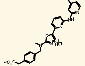 Cc1ccnc(Nc2cccc(-c3cnc(N(C)Cc4ccc(CC(=O)O)cc4)s3)n2)c1.Cl.Cl